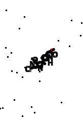 CCc1cc2ccc(C(C)(C#N)Cc3ccc(Cl)nc3OC)cc2[nH]c1=O